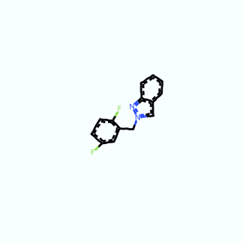 Fc1ccc(F)c(Cn2cc3ccccc3n2)c1